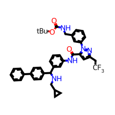 CC(C)(C)OC(=O)NCc1cccc(-n2nc(CC(F)(F)F)cc2C(=O)Nc2cccc(C(NCC3CC3)c3ccc(-c4ccccc4)cc3)c2)c1